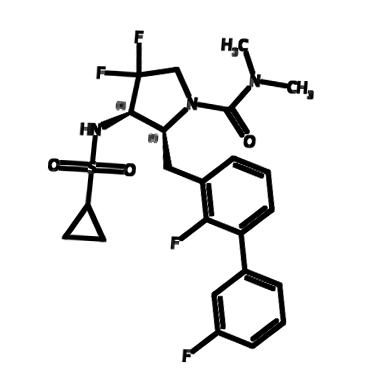 CN(C)C(=O)N1CC(F)(F)[C@H](NS(=O)(=O)C2CC2)[C@@H]1Cc1cccc(-c2cccc(F)c2)c1F